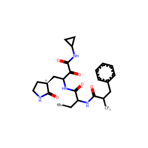 CC(C)(C)CC(NC(=O)C(Cc1ccccc1)C(F)(F)F)C(=O)NC(C[C@@H]1CCNC1=O)C(=O)C(=O)NC1CC1